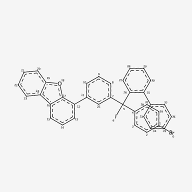 Brc1ccc(C(I)(c2cccc(-c3cccc4c3oc3ccccc34)c2)c2ccccc2-c2ccccc2)cc1